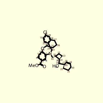 COC(=O)c1ccc2c(c1)N(C[C@@H]1CC[C@H]1[C@@H](O)[C@H]1C=CCCC1)CC1(CCCc3cc(Cl)ccc31)CO2